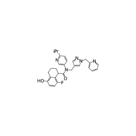 CC(C)c1ccc(N(Cc2cnn(Cc3ccccn3)c2)C(=O)C2CCCc3c(O)ccc(F)c32)cn1